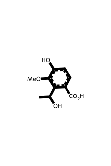 COc1c(O)ccc(C(=O)O)c1C(C)O